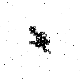 C=CCN1CC[C@]23c4c5ccc(O)c4OC2C(N(C)C(=O)/C=C/c2cccnc2)CC[C@@]3(O)[C@H]1C5